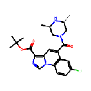 C[C@@H]1CN(C(=O)c2cc3c(C(=O)OC(C)(C)C)ncn3c3ccc(Cl)cc23)C[C@@H](C)N1